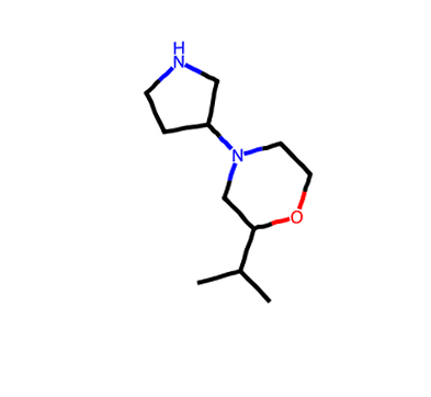 CC(C)C1CN(C2CCNC2)CCO1